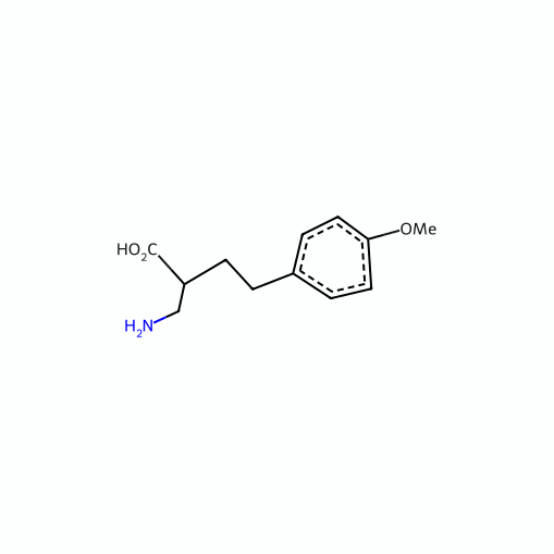 COc1ccc(CCC(CN)C(=O)O)cc1